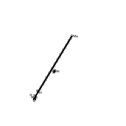 COCCOCCOCCOCCOCCOCCOCCOCCOCCOCCOCCOCCOCCOCCOCCOCCOCCOCCOCCOCCOCCOCCOCCOCCC(=O)NCCCC[C@@H](N)C(=O)NC1CCSSC1.O=C(O)C(F)(F)F